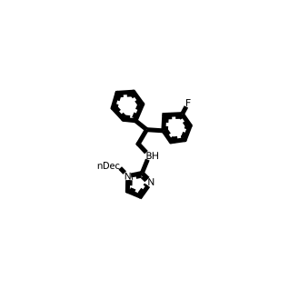 CCCCCCCCCCn1ccnc1BCC(c1ccccc1)c1cccc(F)c1